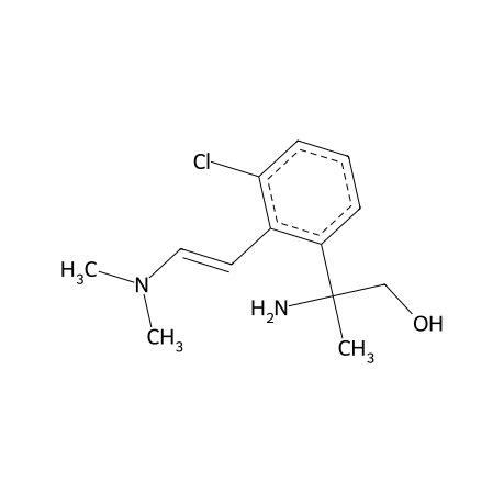 CN(C)/C=C/c1c(Cl)cccc1C(C)(N)CO